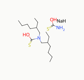 CCCCC(CC)CN(CC(CC)CCCC)C(O)=S.NC(O)=S.[NaH]